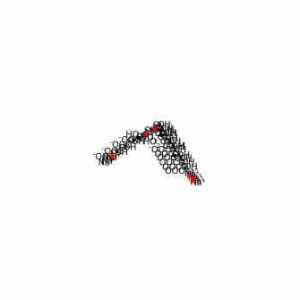 O=C(O)OO.O=C(O)OO.O=C(O)OO.O=C(O)OO.O=C(O)OO.O=C(O)OO.O=C([O-])OO.O=C([O-])OO.O=C([O-])OO.O=C([O-])OO.O=C([O-])OO.O=C([O-])OO.O=C([O-])OO.O=C([O-])OO.O=C([O-])OO.O=C([O-])OO.[Na+].[Na+].[Na+].[Na+].[Na+].[Na+].[Na+].[Na+].[Na+].[Na+]